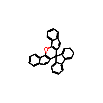 C1=C2C(=CCC1)C1(c3ccccc32)c2ccc3ccccc3c2Oc2c1ccc1ccccc21